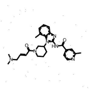 Cc1cc(C(=O)Nc2nc3cccc(C)c3n2C2CCCN(C(=O)C=CCN(C)C)C2)ccn1